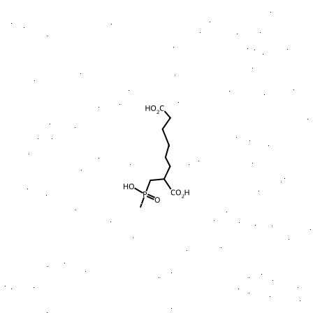 CP(=O)(O)CC(CCCCCC(=O)O)C(=O)O